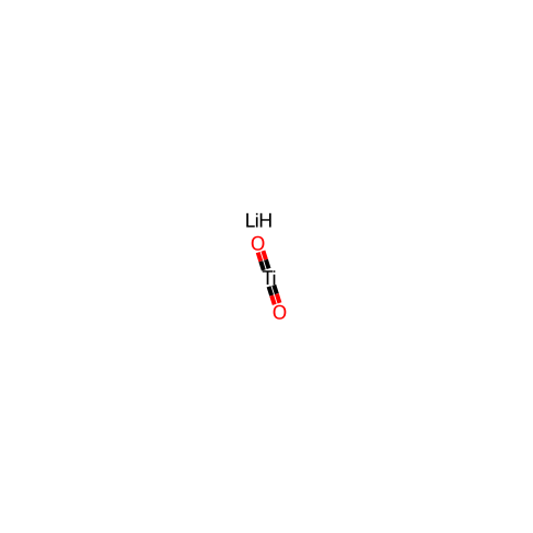 [LiH].[O]=[Ti]=[O]